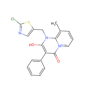 Cc1ccc[n+]2c(=O)c(-c3ccccc3)c(O)n(Cc3cnc(Cl)s3)c12